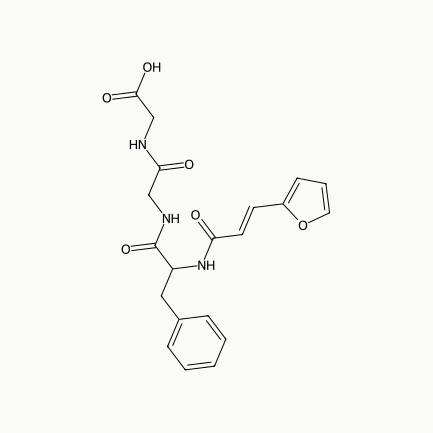 O=C(O)CNC(=O)CNC(=O)C(Cc1ccccc1)NC(=O)C=Cc1ccco1